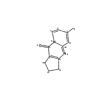 Cc1ccn2c(=O)c3c(nc2c1)CCC3